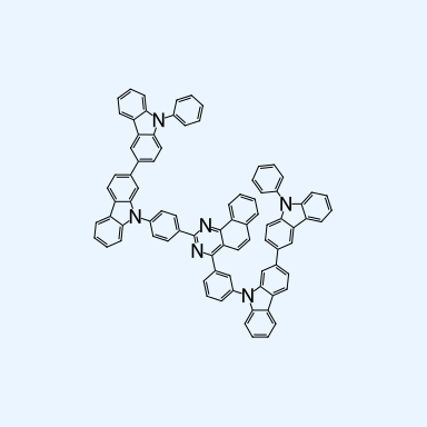 c1ccc(-n2c3ccccc3c3cc(-c4ccc5c6ccccc6n(-c6ccc(-c7nc(-c8cccc(-n9c%10ccccc%10c%10ccc(-c%11ccc%12c(c%11)c%11ccccc%11n%12-c%11ccccc%11)cc%109)c8)c8ccc9ccccc9c8n7)cc6)c5c4)ccc32)cc1